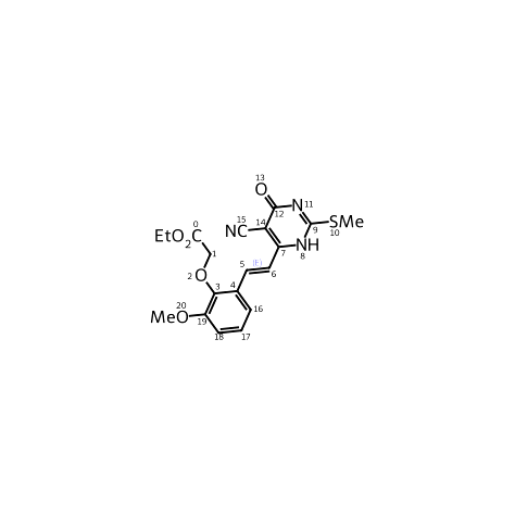 CCOC(=O)COc1c(/C=C/c2[nH]c(SC)nc(=O)c2C#N)cccc1OC